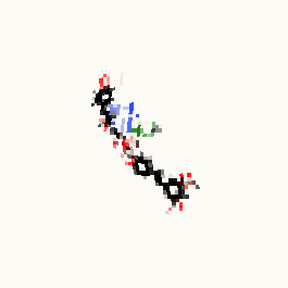 COc1cc(C=Cc2ccc(OC(=O)OCCNC(=O)C(N)Cc3ccc(O)cc3)cc2)cc(OC)c1.Cl